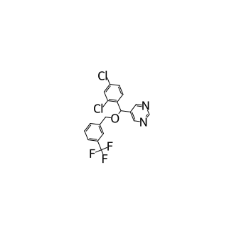 FC(F)(F)c1cccc(COC(c2cncnc2)c2ccc(Cl)cc2Cl)c1